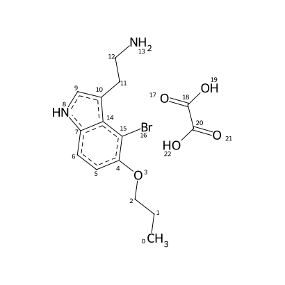 CCCOc1ccc2[nH]cc(CCN)c2c1Br.O=C(O)C(=O)O